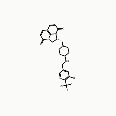 O=c1ccc2ccc(=O)n3c2n1C[C@H]3CN1CCC(NCc2cnc(C(F)(F)F)c(Br)c2)CC1